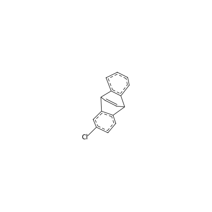 Clc1ccc2c(c1)C1C=CC2c2ccccc21